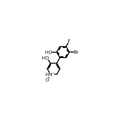 [O-][NH+]1[C]=C(O)C(c2cc(Br)c(F)cc2O)=CC1